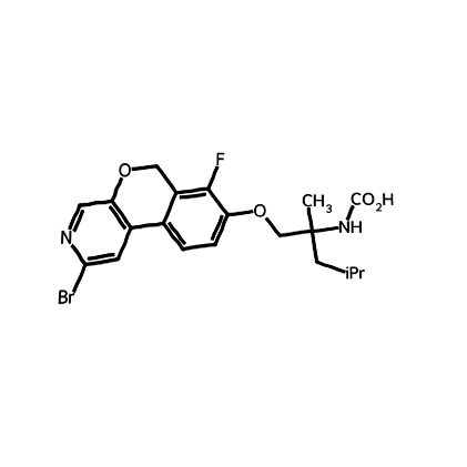 CC(C)CC(C)(COc1ccc2c(c1F)COc1cnc(Br)cc1-2)NC(=O)O